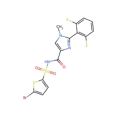 Cn1cc(C(=O)NS(=O)(=O)c2ccc(Br)s2)nc1-c1c(F)cccc1F